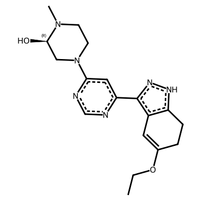 CCOC1=Cc2c(-c3cc(N4CCN(C)[C@H](O)C4)ncn3)n[nH]c2CC1